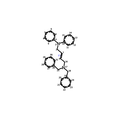 C(=C\CN(c1ccccc1)c1ccccc1)/CN(Cc1ccccc1)Cc1ccccc1